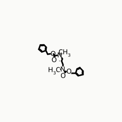 CN(C[CH]CN(C)C(=O)OCc1ccccc1)C(=O)OCc1ccccc1